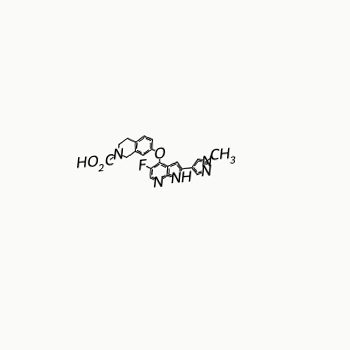 Cn1cc(-c2cc3c(Oc4ccc5c(c4)CN(C(=O)O)CC5)c(F)cnc3[nH]2)cn1